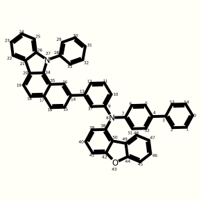 c1ccc(-c2ccc(N(c3cccc(-c4ccc5ccc6c7ccccc7n(-c7ccccc7)c6c5c4)c3)c3cccc4oc5ccccc5c34)cc2)cc1